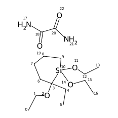 CCOC1(CC)CCCC[Si]1(OCC)OCC.NC(=O)C(N)=O